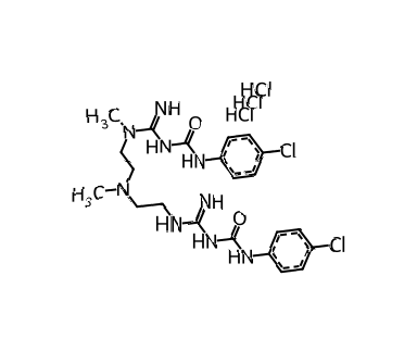 CN(CCNC(=N)NC(=O)Nc1ccc(Cl)cc1)CCN(C)C(=N)NC(=O)Nc1ccc(Cl)cc1.Cl.Cl.Cl